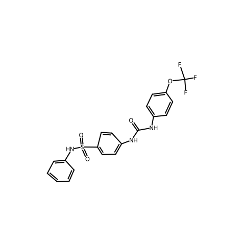 O=C(Nc1ccc(OC(F)(F)F)cc1)Nc1ccc(S(=O)(=O)Nc2ccccc2)cc1